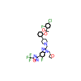 CC1(c2ccc(Cl)cc2F)Oc2cccc(C3CCN(Cc4nc5cc(-c6noc(C(F)(F)F)n6)c(F)cc5n4C[C@@H]4CCO4)CC3)c2O1